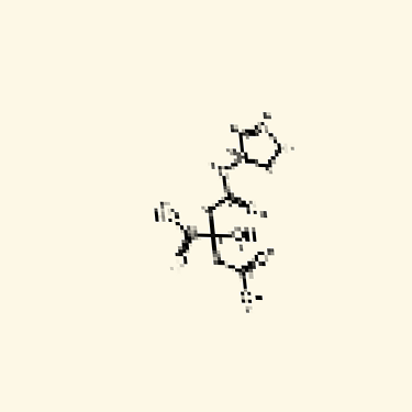 O=C(O)CC(O)(CC(=O)ON1C=NCC1)C(=O)O